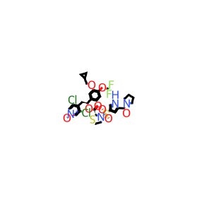 O=C(O[C@@H](Cc1c(Cl)c[n+]([O-])cc1Cl)c1ccc(OC(F)F)c(OCC2CC2)c1)[C@H]1SCCN1S(=O)(=O)c1c[nH]c(C(=O)N2CCCC2)c1